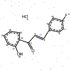 Cl.O=C(/C=C/c1ccc(F)cc1)c1ccccc1O